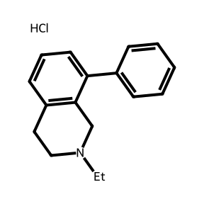 CCN1CCc2cccc(-c3ccccc3)c2C1.Cl